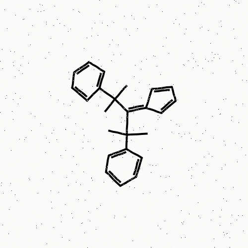 CC(C)(C(=C1[C]=CC=C1)C(C)(C)c1ccccc1)c1ccccc1